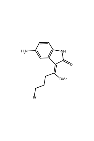 COC(CCCBr)=C1C(=O)Nc2ccc(N)cc21